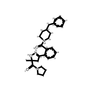 CC1(C(=O)N2CCCC2)CC(c2ccccc2C(=O)N2CCC(Cc3ccccc3)CC2)=NO1